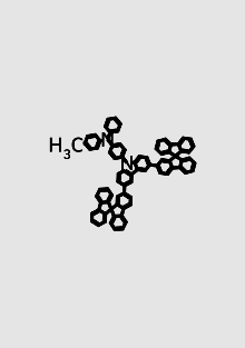 Cc1ccc(N(c2ccccc2)c2ccc(-n3c4ccc(-c5ccc6c(c5)C5(c7ccccc7-c7ccccc75)c5ccccc5-6)cc4c4cc(-c5ccc6c(c5)C5(c7ccccc7-c7ccccc75)c5ccccc5-6)ccc43)cc2)cc1